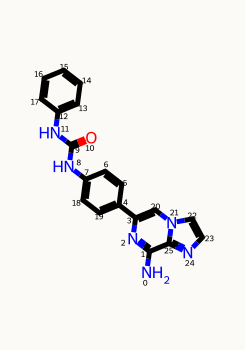 Nc1nc(-c2ccc(NC(=O)Nc3ccccc3)cc2)cn2ccnc12